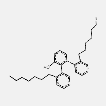 CCCCCCCc1ccccc1-c1cccc(O)c1-c1ccccc1CCCCCCC